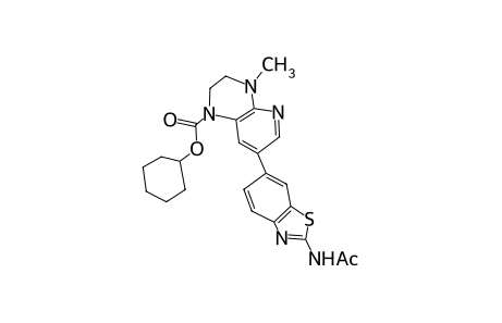 CC(=O)Nc1nc2ccc(-c3cnc4c(c3)N(C(=O)OC3CCCCC3)CCN4C)cc2s1